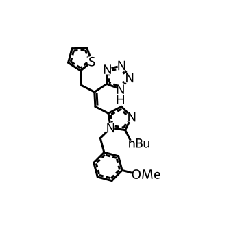 CCCCc1ncc(C=C(Cc2cccs2)c2nnn[nH]2)n1Cc1cccc(OC)c1